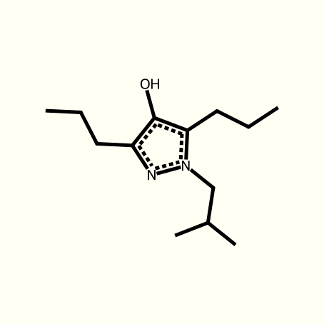 CCCc1nn(CC(C)C)c(CCC)c1O